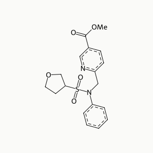 COC(=O)c1ccc(CN(c2ccccc2)S(=O)(=O)C2CCOC2)nc1